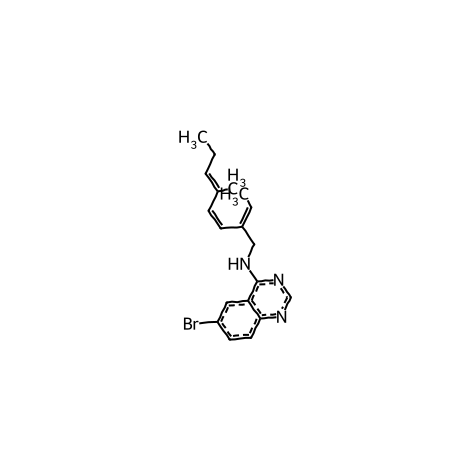 C\C=C(/C=C\C(C)=C\CC)CNc1ncnc2ccc(Br)cc12